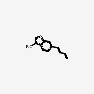 C=CC=Cc1ccc2c(C(F)(F)F)csc2c1